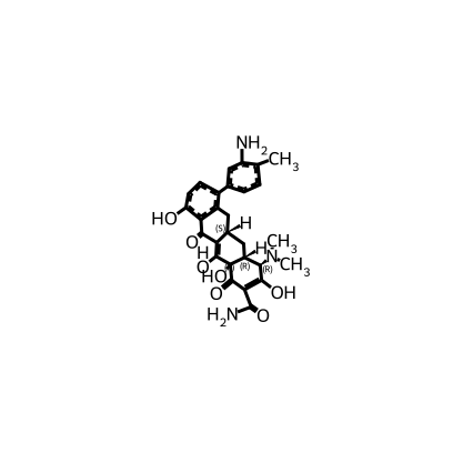 Cc1ccc(-c2ccc(O)c3c2C[C@@H]2C[C@@H]4[C@@H](N(C)C)C(O)=C(C(N)=O)C(=O)[C@]4(O)C(O)=C2C3=O)cc1N